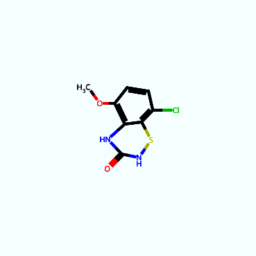 COc1ccc(Cl)c2c1NC(=O)NS2